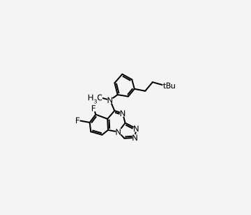 CN(c1cccc(CCC(C)(C)C)c1)c1nc2nncn2c2ccc(F)c(F)c12